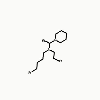 [CH2]CC(N1CCCCC1)N(CCCCC(C)C)CCC(C)C